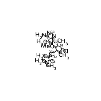 COc1c(C(C)n2nc(C)c3c(N)ncnc32)cc(Cl)c(C)c1C1CN([C@@H](C)C(=O)N(C)C)C1